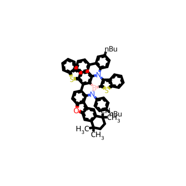 CCCCc1ccc(N2B3c4sc5ccccc5c4N(c4ccc(CCCC)cc4-c4ccccc4)c4cc5c(sc6ccccc65)c(c43)-c3ccc4oc5cc6c(cc5c4c32)C(C)(C)CCC6(C)C)cc1